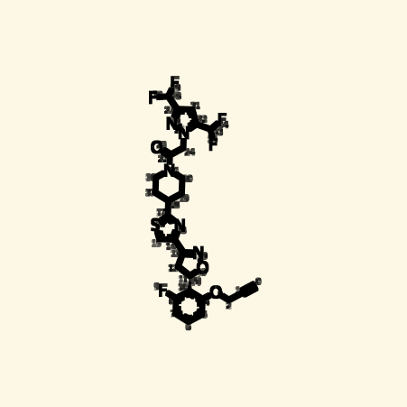 C#CCOc1cccc(F)c1[C@@H]1CC(c2csc(C3CCN(C(=O)Cn4nc(C(F)F)cc4C(F)F)CC3)n2)=NO1